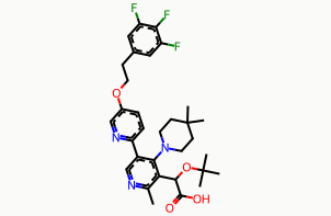 Cc1ncc(-c2ccc(OCCc3cc(F)c(F)c(F)c3)cn2)c(N2CCC(C)(C)CC2)c1C(OC(C)(C)C)C(=O)O